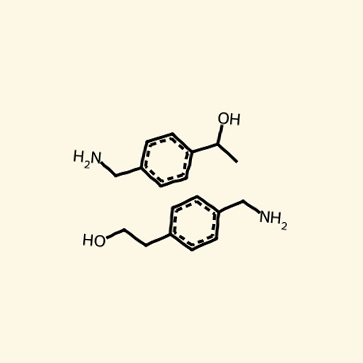 CC(O)c1ccc(CN)cc1.NCc1ccc(CCO)cc1